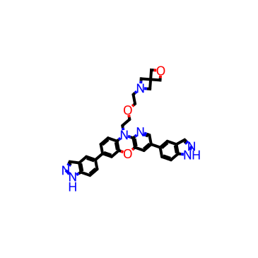 c1cc2c(cc1-c1ccc3[nH]ncc3c1)Oc1cc(-c3ccc4[nH]ncc4c3)cnc1N2CCOCCN1CC2(COC2)C1